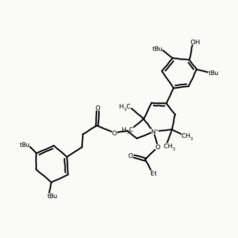 CCC(=O)O[N+]1(CCOC(=O)CCC2=CC(C(C)(C)C)CC(C(C)(C)C)=C2)C(C)(C)C=C(c2cc(C(C)(C)C)c(O)c(C(C)(C)C)c2)CC1(C)C